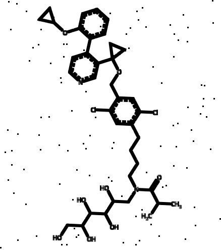 CC(C)C(=O)N(CCCCc1cc(Cl)c(COC2(c3cnccc3-c3ccccc3OC3CC3)CC2)cc1Cl)CC(O)C(O)C(O)C(O)CO